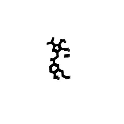 CC(C)n1nc(CNc2ccc(N)c(CCO)c2)c(N)c1N.Cl